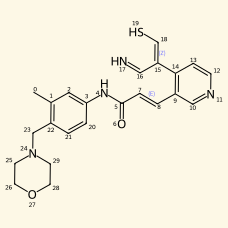 Cc1cc(NC(=O)/C=C/c2cnccc2/C(C=N)=C/S)ccc1CN1CCOCC1